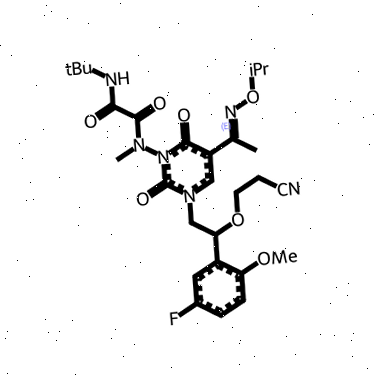 COc1ccc(F)cc1C(Cn1cc(/C(C)=N/OC(C)C)c(=O)n(N(C)C(=O)C(=O)NC(C)(C)C)c1=O)OCCC#N